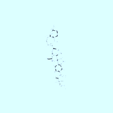 CC(C)(N)C(=O)Nc1ccc2c(c1)CCC21OC(=O)N(CC(=O)N2CCCc3cc(F)ccc3C2)C1=O